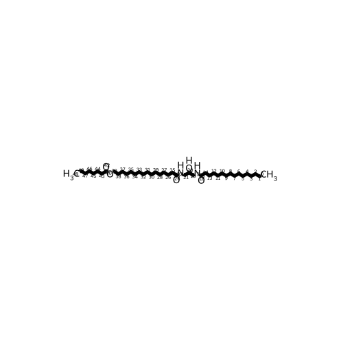 CCCCCCCCCCCCCCCC(=O)NCC(O)CNC(=O)CCCCCCCCCCCCCCCOC(=O)CCCCCCC